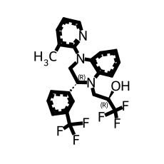 Cc1cccnc1N1C[C@@H](c2cccc(C(F)(F)F)c2)N(C[C@@H](O)C(F)(F)F)c2ccccc21